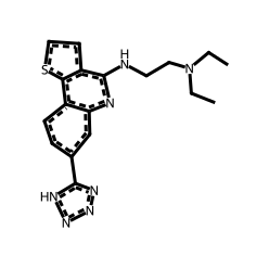 CCN(CC)CCNc1nc2cc(-c3nnn[nH]3)ccc2c2sccc12